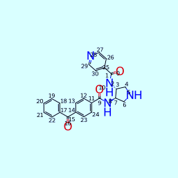 O=C(N[C@@H]1CNC[C@H]1NC(=O)c1ccc(C(=O)c2ccccc2)cc1)c1ccncc1